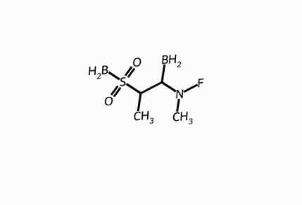 BC(C(C)S(B)(=O)=O)N(C)F